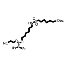 CCCCCCCCCCCCCCCCS(=O)(=O)NCCCCCCOP(OCCC#N)N(C(C)C)C(C)C